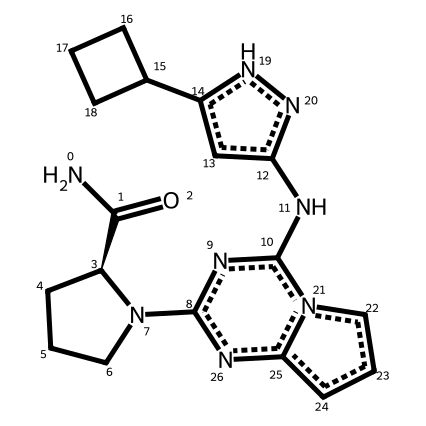 NC(=O)[C@@H]1CCCN1c1nc(Nc2cc(C3CCC3)[nH]n2)n2cccc2n1